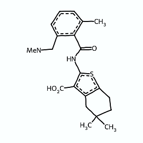 CNCc1cccc(C)c1C(=O)Nc1sc2c(c1C(=O)O)CC(C)(C)CC2